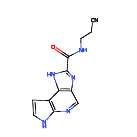 N#CCCNC(=O)c1nc2cnc3[nH]ccc3c2[nH]1